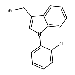 CC(C)Cc1cn(-c2ccccc2Cl)c2ccccc12